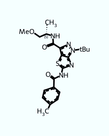 COC[C@H](C)NC(=O)c1nn(C(C)(C)C)c2nc(NC(=O)c3ccc(C)cc3)sc12